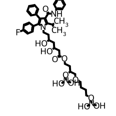 CC(C)c1c(C(=O)Nc2ccccc2)c(-c2ccccc2)c(-c2ccc(F)cc2)n1CCC(O)CC(O)CC(=O)OCCC(COCCCCON(O)O)ON(O)O